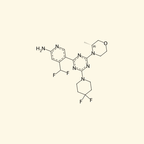 C[C@@H]1COCCN1c1nc(-c2cnc(N)cc2C(F)F)nc(N2CCC(F)(F)CC2)n1